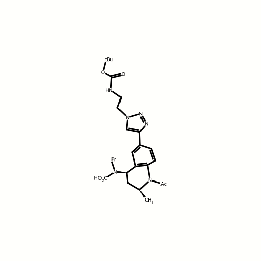 CC(=O)N1c2ccc(-c3cn(CCNC(=O)OC(C)(C)C)nn3)cc2[C@H](N(C(=O)O)C(C)C)C[C@@H]1C